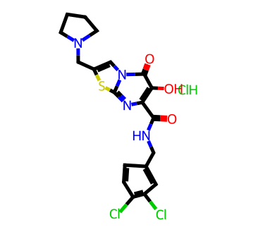 Cl.O=C(NCc1ccc(Cl)c(Cl)c1)c1nc2sc(CN3CCCC3)cn2c(=O)c1O